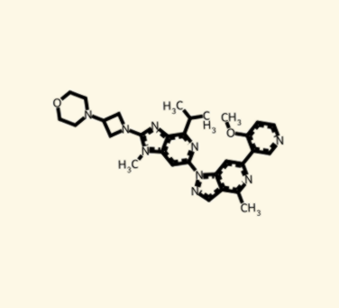 COc1ccncc1-c1cc2c(cnn2-c2cc3c(nc(N4CC(N5CCOCC5)C4)n3C)c(C(C)C)n2)c(C)n1